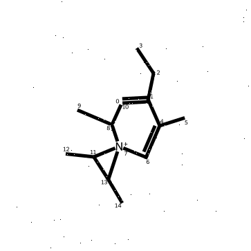 C=C(CC)/C(C)=C\[N+]1(C(C)C)C(C)C1C